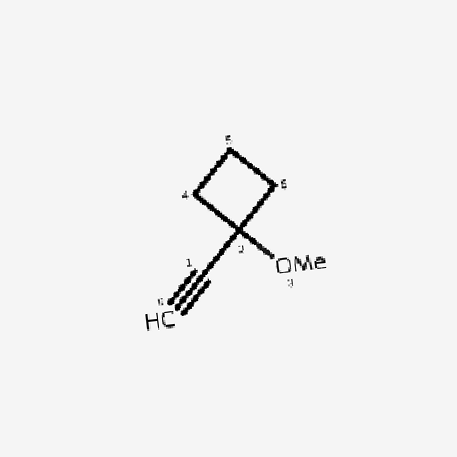 C#CC1(OC)CCC1